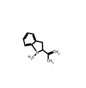 C=C(C)C1Cc2ccccc2N1C